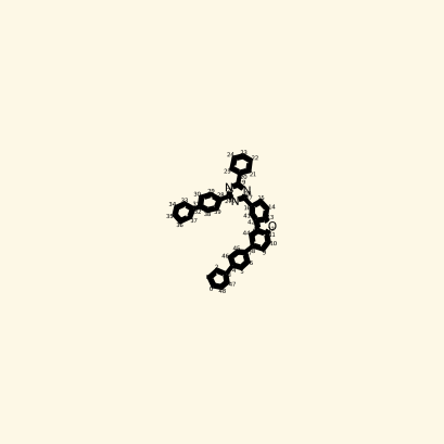 c1ccc(-c2ccc(-c3ccc4oc5ccc(-c6nc(-c7ccccc7)nc(-c7ccc(-c8ccccc8)cc7)n6)cc5c4c3)cc2)cc1